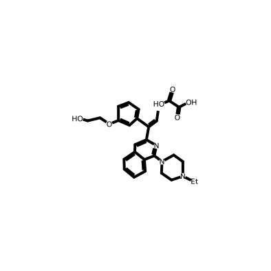 CC=C(c1cccc(OCCO)c1)c1cc2ccccc2c(N2CCN(CC)CC2)n1.O=C(O)C(=O)O